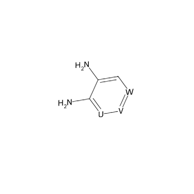 NC1=[CH][W]=[V][U]=[C]1N